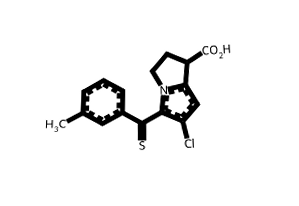 Cc1cccc(C(=S)c2c(Cl)cc3n2CCC3C(=O)O)c1